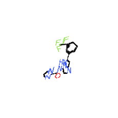 O=C(Nc1ccnc2cc(-c3cccc(C(F)(F)F)c3)nn12)c1ncccn1